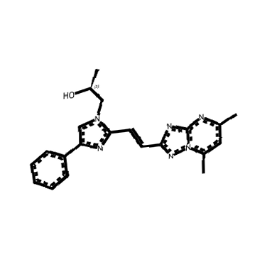 Cc1cc(C)n2nc(C=Cc3nc(-c4ccccc4)cn3C[C@H](C)O)nc2n1